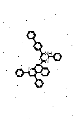 C1=CCC2C(=C1)C(C1=NC(c3ccccc3)NC(c3ccc(-c4ccccc4)cc3)=C1)=Cc1nc(-c3ccccc3)cc(-c3ccccc3)c12